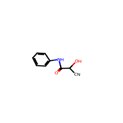 N#CC(O)C(=O)Nc1ccccc1